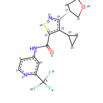 O=C(Nc1ccnc(C(F)(F)F)c1)c1snc([C@@H]2CCOC2)c1C1CC1